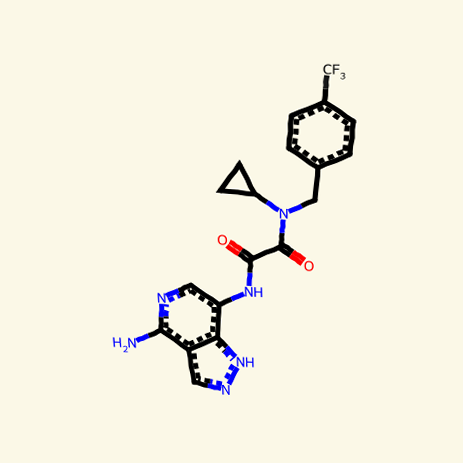 Nc1ncc(NC(=O)C(=O)N(Cc2ccc(C(F)(F)F)cc2)C2CC2)c2[nH]ncc12